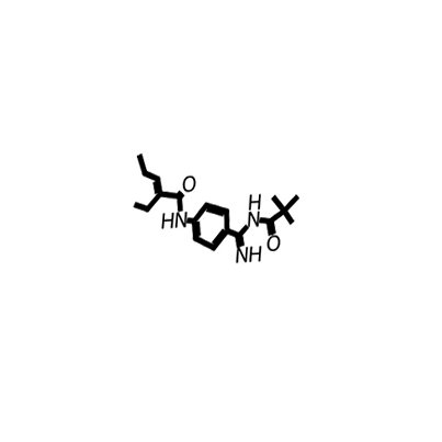 CC/C=C(\CC)C(=O)Nc1ccc(C(=N)NC(=O)C(C)(C)C)cc1